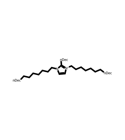 CCCCCCCCCCCCCCCCCn1cc[n+](CCCCCCCCCCCCCCCCC)c1CCCCCCCCCC